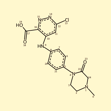 CN1CCN(c2ccc(Nc3cc(Cl)nnc3C(=O)O)cc2)C(=O)C1